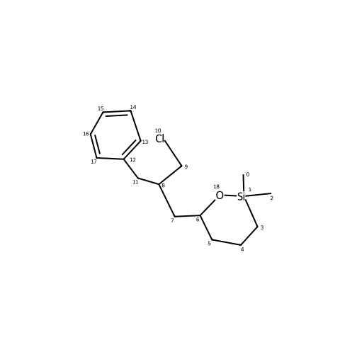 C[Si]1(C)CCCC(CC(CCl)Cc2ccccc2)O1